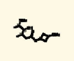 CN[C@@H](C)[C@H](O)[C@H](C)CC(=O)ON1CC(OC)C1